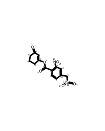 O=C1C=C(OC(=O)c2ccc(C[SH](=O)=O)cc2[N+](=O)[O-])CCC1